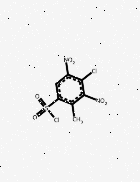 Cc1c(S(=O)(=O)Cl)cc([N+](=O)[O-])c(Cl)c1[N+](=O)[O-]